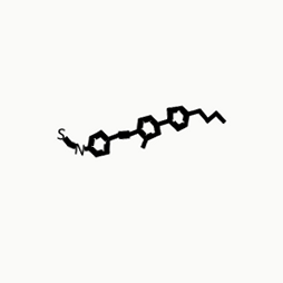 CCCCc1ccc(-c2ccc(C#Cc3ccc(N=C=S)cc3)c(C)c2)cc1